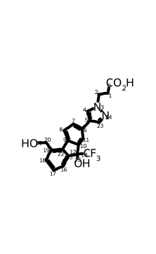 O=C(O)CCn1cc(-c2ccc3c(c2)C(O)(C(F)(F)F)c2cccc(CO)c2-3)cn1